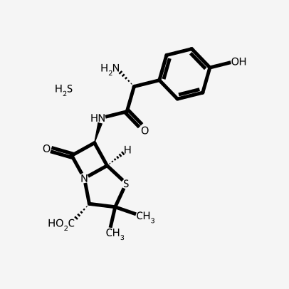 CC1(C)S[C@@H]2[C@H](NC(=O)[C@H](N)c3ccc(O)cc3)C(=O)N2[C@H]1C(=O)O.S